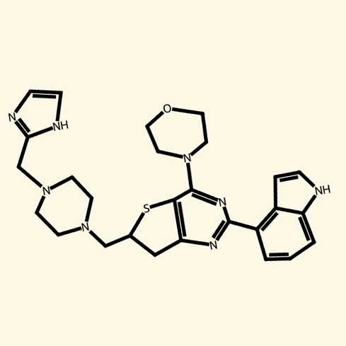 c1cc(-c2nc3c(c(N4CCOCC4)n2)SC(CN2CCN(Cc4ncc[nH]4)CC2)C3)c2cc[nH]c2c1